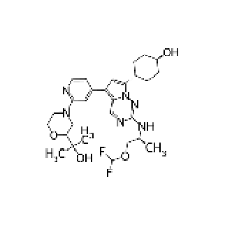 C[C@@H](COC(F)F)Nc1ncc2c(-c3ccnc(N4CCOC(C(C)(C)O)C4)c3)cc([C@H]3CC[C@H](O)CC3)n2n1